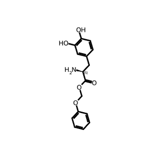 N[C@@H](Cc1ccc(O)c(O)c1)C(=O)OCOc1ccccc1